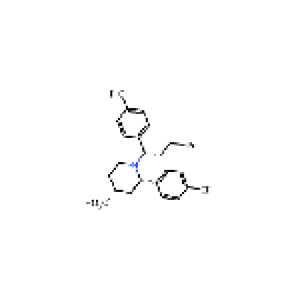 CC(C)CC[C@@H](c1ccc(C(F)(F)F)cc1)N1CC[C@@H](C(=O)O)C[C@H]1c1ccc(C(F)(F)F)cc1